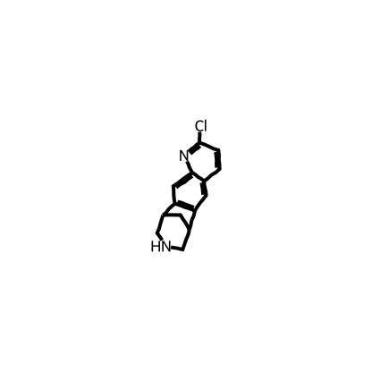 Clc1ccc2cc3c(cc2n1)C1CNCC3C1